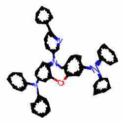 c1ccc(-c2ccc(N3c4ccc(N(c5ccccc5)c5ccccc5)cc4Oc4cc(N(c5ccccc5)c5ccccc5)ccc43)cn2)cc1